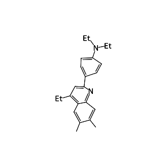 CCc1cc(-c2ccc(N(CC)CC)cc2)nc2cc(C)c(C)cc12